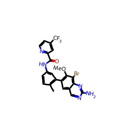 COc1c(-c2cc(NC(=O)c3cc(C(F)(F)F)ccn3)ccc2C)cc2cnc(N)nc2c1Br